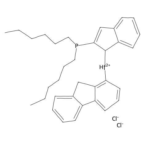 CCCCCCP(CCCCCC)C1=Cc2ccccc2[CH]1[Hf+2][c]1cccc2c1Cc1ccccc1-2.[Cl-].[Cl-]